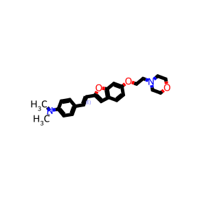 CN(C)c1ccc(/C=C/c2cc3ccc(OCCN4CCOCC4)cc3o2)cc1